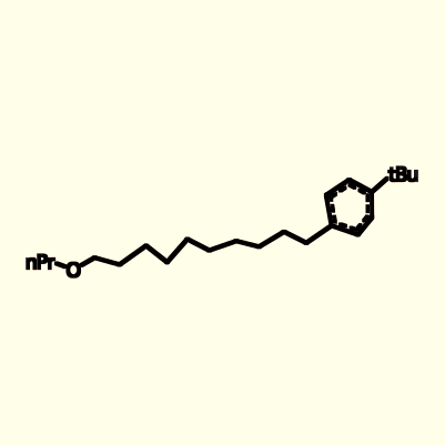 CCCOCCCCCCCCCCc1ccc(C(C)(C)C)cc1